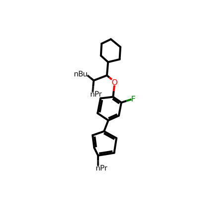 CCCCC(CCC)C(Oc1ccc(-c2ccc(CCC)cc2)cc1F)C1CCCCC1